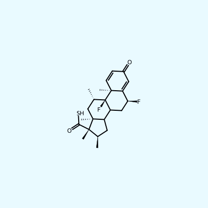 C[C@@H]1CC2C3C[C@H](F)C4=CC(=O)C=C[C@]4(C)[C@@]3(F)[C@@H](C)C[C@]2(C)[C@@]1(C)C(=O)S